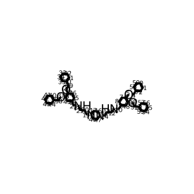 c1ccc(COc2ccc(CNCCCN3CCN(CCCNCc4ccc(OCc5ccccc5)c(OCc5ccccc5)c4)CC3)cc2OCc2ccccc2)cc1